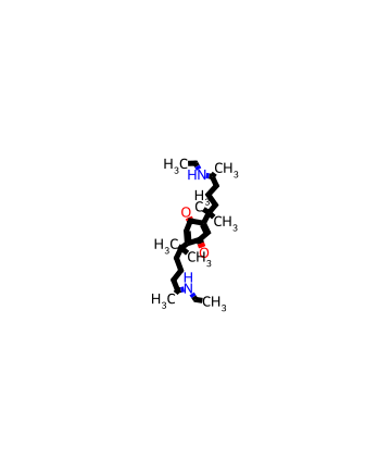 CCNC(C)CCCC(C)(C)C1=CC(=O)C(C(C)(C)CCCC(C)NCC)=CC1=O